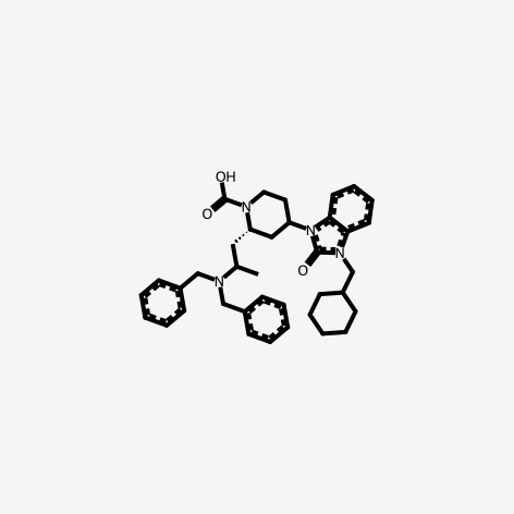 CC(C[C@H]1CC(n2c(=O)n(CC3CCCCC3)c3ccccc32)CCN1C(=O)O)N(Cc1ccccc1)Cc1ccccc1